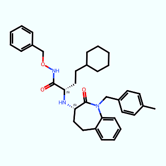 Cc1ccc(CN2C(=O)[C@@H](N[C@@H](CCC3CCCCC3)C(=O)NOCc3ccccc3)CCc3ccccc32)cc1